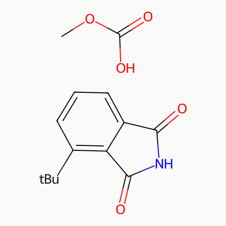 CC(C)(C)c1cccc2c1C(=O)NC2=O.COC(=O)O